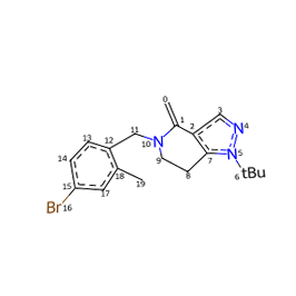 C=C1c2cnn(C(C)(C)C)c2CCN1Cc1ccc(Br)cc1C